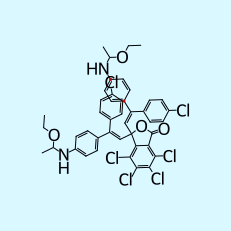 CCOC(C)Nc1ccc(/C(=C/C2(/C=C(\c3ccc(Cl)cc3)c3ccc(NC(C)OCC)cc3)OC(=O)c3c(Cl)c(Cl)c(Cl)c(Cl)c32)c2ccc(Cl)cc2)cc1